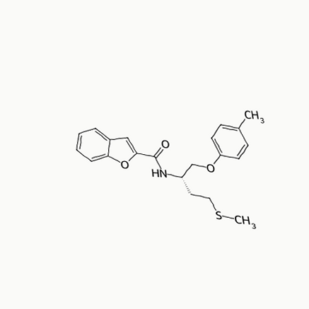 CSCC[C@@H](COc1ccc(C)cc1)NC(=O)c1cc2ccccc2o1